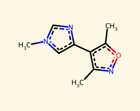 Cc1noc(C)c1-c1cn(C)cn1